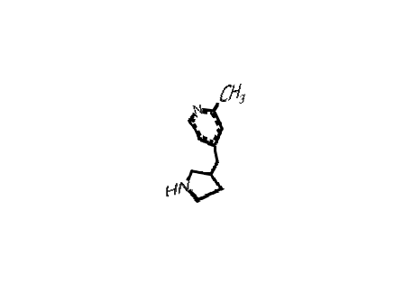 Cc1cc(CC2CCNC2)ccn1